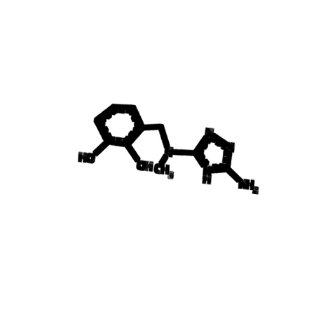 CN(Cc1cccc(O)c1O)c1nnc(N)[nH]1